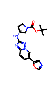 CC(C)(C)OC(=O)N1CC[C@@H](Nc2nc3ccc(-c4cnco4)cn3n2)C1